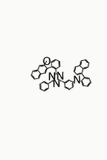 c1ccc(-c2nc(-c3cccc(-n4c5ccccc5c5c6ccccc6ccc54)c3)nc(-c3cccc4oc5cc6ccccc6cc5c34)n2)cc1